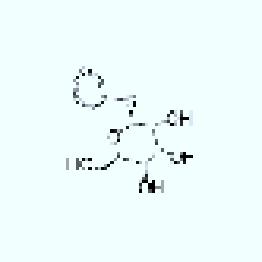 OC[C@H]1O[C@@H](Sc2ccccc2)[C@H](O)[C@@H](O)[C@H]1O